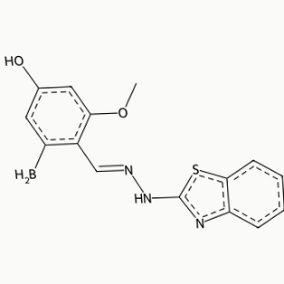 Bc1cc(O)cc(OC)c1/C=N/Nc1nc2ccccc2s1